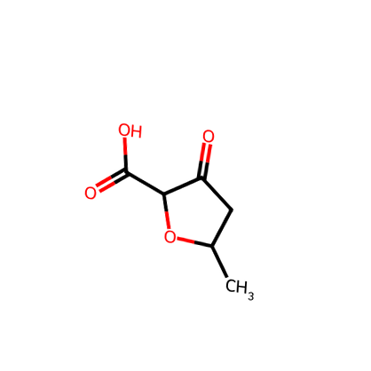 CC1CC(=O)C(C(=O)O)O1